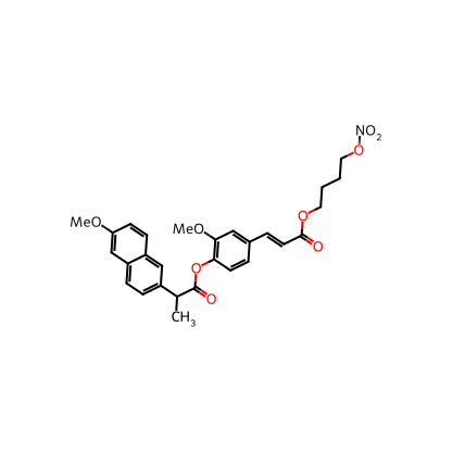 COc1ccc2cc(C(C)C(=O)Oc3ccc(C=CC(=O)OCCCCO[N+](=O)[O-])cc3OC)ccc2c1